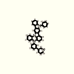 c1ccc(-n2c3ccccc3c3cc4c(cc32)c2cccc3c2n4-c2ccccc2N3c2cccc(-c3cccnc3)c2)cc1